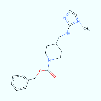 Cn1ccnc1NCC1CCN(C(=O)OCc2ccccc2)CC1